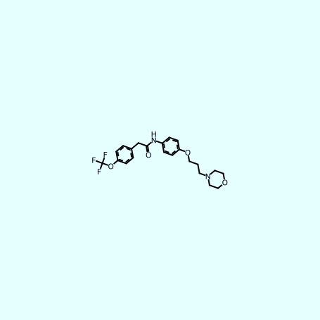 O=C(Cc1ccc(OC(F)(F)F)cc1)Nc1ccc(OCCCN2CCOCC2)cc1